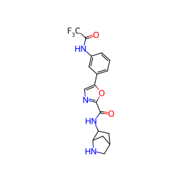 O=C(NC1CC2CNC1C2)c1ncc(-c2cccc(NC(=O)C(F)(F)F)c2)o1